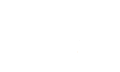 CC(C)(C)PC(C)(C)C.c1ccc(-c2ccccc2)cc1